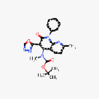 Cc1ccc2c(N(C)C(=O)OC(C)(C)C)c(-c3nnco3)c(=O)n(-c3ccccc3)c2n1